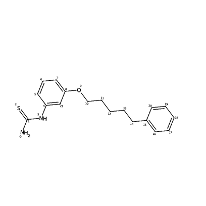 NC(=S)Nc1cccc(OCCCCCc2ccccc2)c1